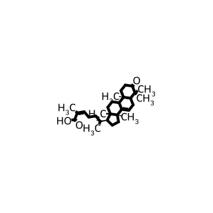 C/C(=C/CCC(C)[C@@H]1CC[C@]2(C)C3=CCC4C(C)(C)C(=O)CC[C@]4(C)C3CC[C@@]12C)C(=O)O